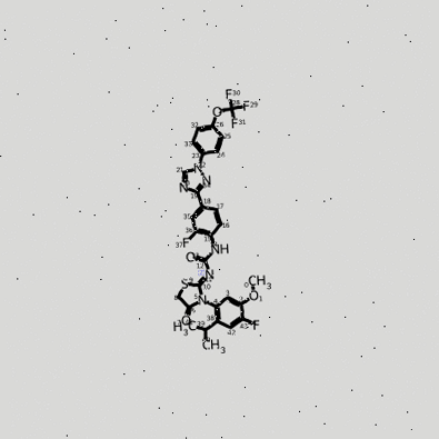 COc1cc(N2C(=O)CS/C2=N\C(=O)Nc2ccc(-c3ncn(-c4ccc(OC(F)(F)F)cc4)n3)cc2F)c(C(C)C)cc1F